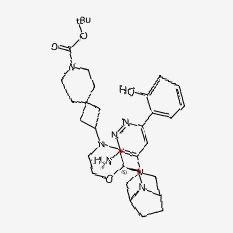 CC(C)(C)OC(=O)N1CCC2(CC1)CC(N1CCO[C@H](CN3C4CCC3CN(c3cc(-c5ccccc5O)nnc3N)C4)C1)C2